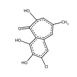 Cc1cc(O)c(=O)c2c(O)c(O)c(Cl)cc2c1